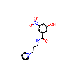 O=C(NCCCn1cccc1)c1cc(O)cc([N+](=O)[O-])c1